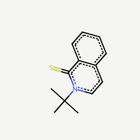 CC(C)(C)n1ccc2ccccc2c1=S